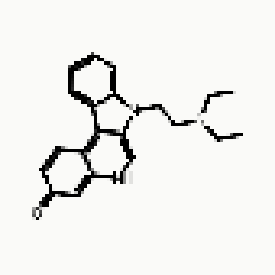 CCN(CC)CCn1c2ccccc2c2c3ccc(=O)cc-3[nH]cc21